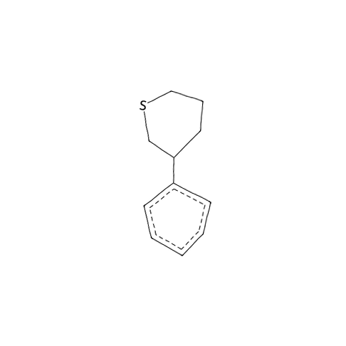 c1ccc(C2CCCSC2)cc1